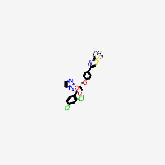 Cc1nc(-c2ccc(OC[C@@H]3CO[C@@](Cn4ccnc4)(c4ccc(Cl)cc4Cl)O3)cc2)cs1